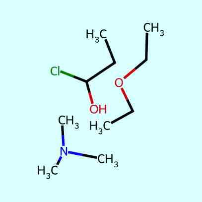 CCC(O)Cl.CCOCC.CN(C)C